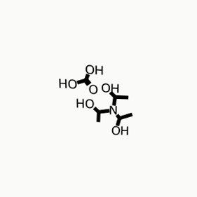 CC(O)N(C(C)O)C(C)O.O=C(O)O